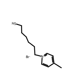 Cc1cc[n+](CCCCCCS)cc1.[Br-]